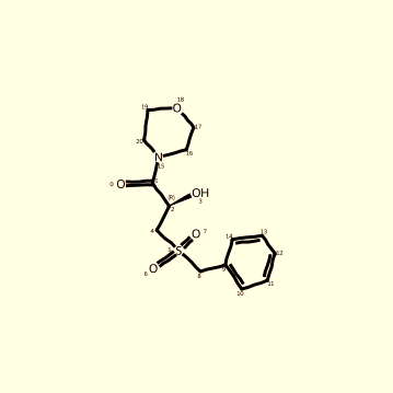 O=C([C@@H](O)CS(=O)(=O)Cc1ccccc1)N1CCOCC1